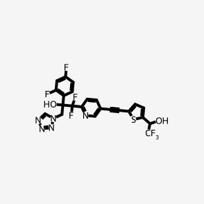 OC(c1ccc(C#Cc2ccc(C(F)(F)C(O)(Cn3cnnn3)c3ccc(F)cc3F)nc2)s1)C(F)(F)F